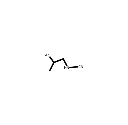 CC(=O)C(C)CNC#N